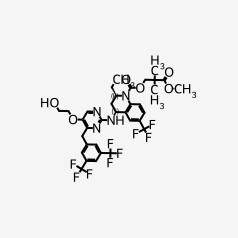 CC[C@@H]1C[C@H](Nc2ncc(OCCO)c(Cc3cc(C(F)(F)F)cc(C(F)(F)F)c3)n2)c2cc(C(F)(F)F)ccc2N1C(=O)OCC(C)(C)C(=O)OC